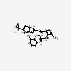 Nc1nsc(C#Cc2cc3sc(C4(C(=O)O)CC4)cc3s2)c1NC(=O)OCc1ccccc1Cl